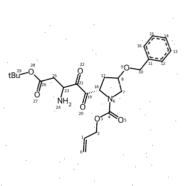 C=CCOC(=O)N1CC(OCc2ccccc2)C[C@H]1C(=O)C(=O)C(N)CC(=O)OC(C)(C)C